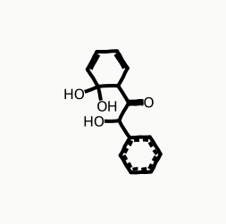 O=C(C(O)c1ccccc1)C1C=CC=CC1(O)O